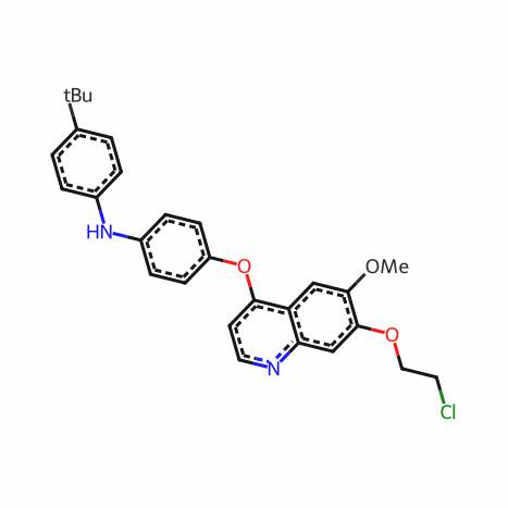 COc1cc2c(Oc3ccc(Nc4ccc(C(C)(C)C)cc4)cc3)ccnc2cc1OCCCl